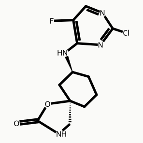 O=C1NC[C@]2(CCC[C@H](Nc3nc(Cl)ncc3F)C2)O1